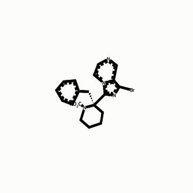 O=C(O)N1CCCC[C@]1(Cc1ccccc1)c1nc(Br)c2cnccn12